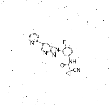 N#CC1(C(=O)Nc2ccc(F)c(-n3cc4cc(-c5ccccn5)cnc4n3)c2)CC1